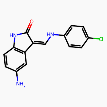 Nc1ccc2c(c1)C(=CNc1ccc(Cl)cc1)C(=O)N2